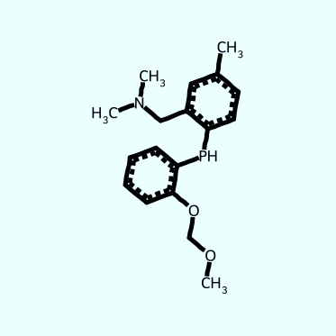 COCOc1ccccc1Pc1ccc(C)cc1CN(C)C